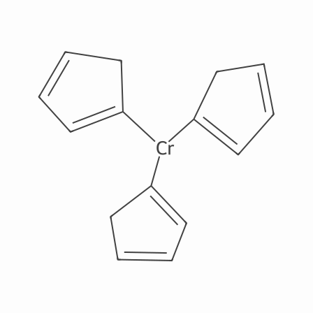 C1=CC[C]([Cr]([C]2=CC=CC2)[C]2=CC=CC2)=C1